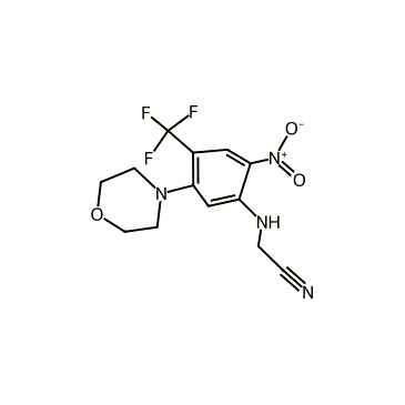 N#CCNc1cc(N2CCOCC2)c(C(F)(F)F)cc1[N+](=O)[O-]